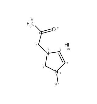 CN1C=CN(CC(=O)C(F)(F)F)C1.I